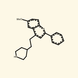 COc1ccc2nc(-c3ccccc3)cc(CCC3CCNCC3)c2c1